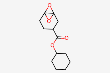 O=C(OC1CCCCC1)C1CCC23OC2(C1)O3